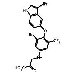 CC(C)c1c[nH]c2ccc(Oc3c(Br)cc(NCC(=O)C(=O)O)cc3C(F)(F)F)cc12